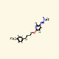 CCN(C)/C=N/c1cc(Br)c(OCCCCc2ccc(OC)cc2)nc1C